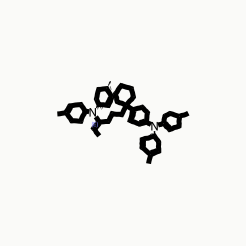 C/C=C(\CCCC1(C2=CC=C(N(C3=CCC(C)CC3)[C@H]3C=CC(C)=CC3)CC2)CCCCC1)N(C1CC=C(C)CC1)[C@H]1C=C[C@@H](C)CC1